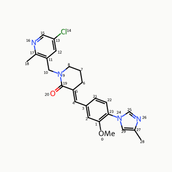 COc1cc(C=C2CCCN(Cc3cc(Cl)cnc3C)C2=O)ccc1-n1cnc(C)c1